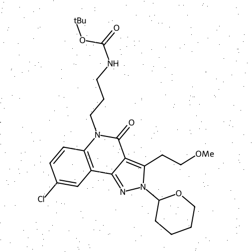 COCCc1c2c(=O)n(CCCNC(=O)OC(C)(C)C)c3ccc(Cl)cc3c2nn1C1CCCCO1